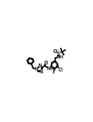 CC(C)(C)[S+]([O-])NCc1cc(Cl)c(F)c(NC(=O)c2ncn(Cc3ccccc3)n2)c1